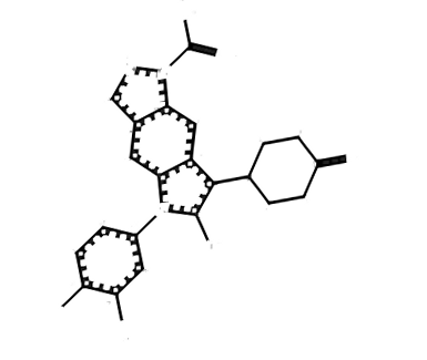 CC(C)c1c(C2CCC(=O)CC2)c2cc3c(cnn3C(=O)C(C)(C)C)cc2n1-c1ccc(F)c(F)c1